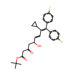 CC(C)(C)OC(=O)CC(=O)CC(O)/C=C/C(=C(c1ccc(F)cc1)c1ccc(F)cc1)C1CC1